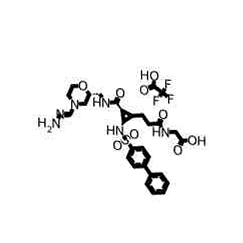 NN=CN1CCO[C@H](CNC(=O)[C@H]2C(CCC(=O)NCC(=O)O)[C@@H]2NS(=O)(=O)c2ccc(-c3ccccc3)cc2)C1.O=C(O)C(F)(F)F